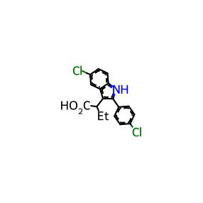 CCC(C(=O)O)c1c(-c2ccc(Cl)cc2)[nH]c2ccc(Cl)cc12